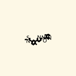 Cc1nc(-c2ccc(C)c(-c3ccc(NC(=O)c4cnccc4C)nc3)c2)cs1